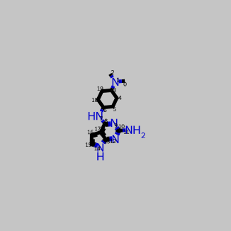 CN(C)C1CCC(Nc2nc(N)nc3[nH]ccc23)CC1